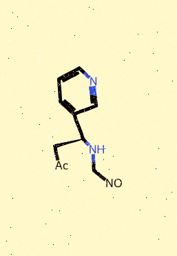 CC(=O)C[C@H](NCN=O)c1cccnc1